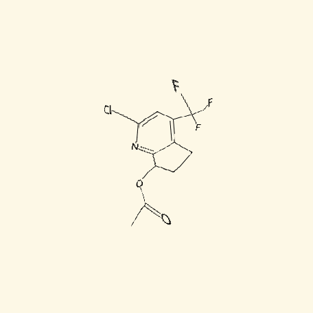 CC(=O)OC1CCc2c(C(F)(F)F)cc(Cl)nc21